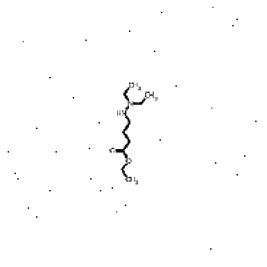 CCOC(=O)CCCNN(CC)CC